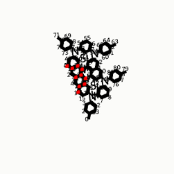 Cc1ccc(N2c3cccc4c3[SiH]3c5c2cccc5N(c2ccc(C)cc2)c2c3c(cc3cc5c6c(c23)N(c2ccc(C)cc2)c2cccc3c2[SiH]6c2c(cccc2N5c2ccc(C)cc2)N3c2ccc(C)cc2)N4c2ccc(C)cc2)cc1